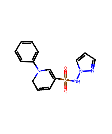 O=S(=O)(Nn1cccn1)C1=CN(c2ccccc2)CC=C1